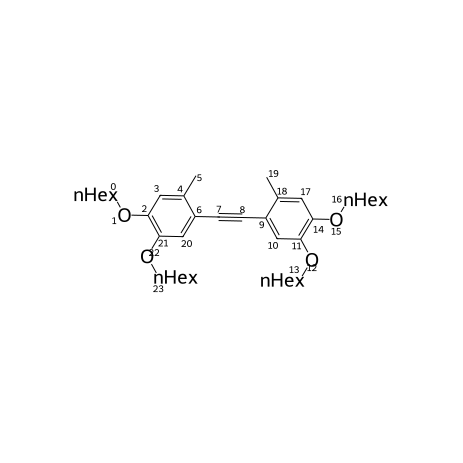 CCCCCCOc1cc(C)c(C#Cc2cc(OCCCCCC)c(OCCCCCC)cc2C)cc1OCCCCCC